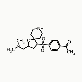 CC(=O)c1ccc(S(=O)(=O)C2CC(CN(C)C)OC23CCNCC3)cc1